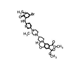 COC(=O)c1cc2c(cc1C(=O)OC)N1CC[C@@H](N3CCN(c4ccc(Nc5cc(Br)cn(C)c5=O)nc4)[C@@H](C)C3)C[C@@H]1CO2